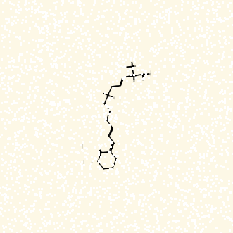 C=C1/C(=C\C=C\CCCC(C)(C)C/C=C/C(O)(C(F)(F)F)C(F)(F)F)C[C@@H](O)C[C@@H]1O